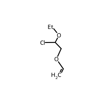 C=COCC(Cl)OCC